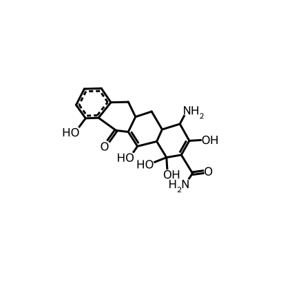 NC(=O)C1=C(O)C(N)C2CC3Cc4cccc(O)c4C(=O)C3=C(O)C2C1(O)O